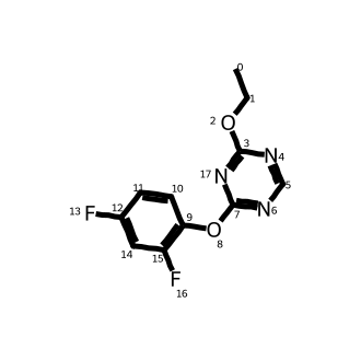 CCOc1ncnc(Oc2ccc(F)cc2F)n1